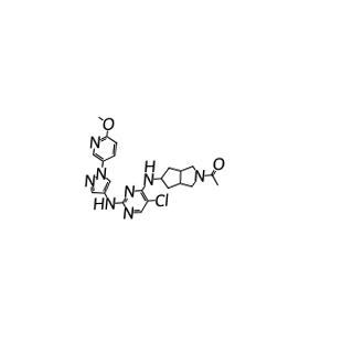 COc1ccc(-n2cc(Nc3ncc(Cl)c(NC4CC5CN(C(C)=O)CC5C4)n3)cn2)cn1